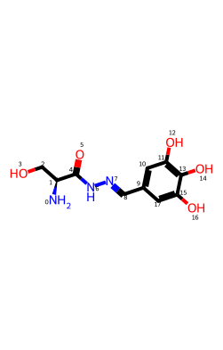 N[C@@H](CO)C(=O)N/N=C/c1cc(O)c(O)c(O)c1